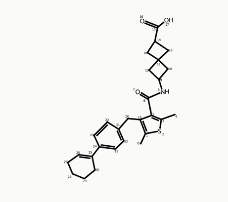 Cc1sc(C)c(C(=O)NC2CC3(C2)CC(C(=O)O)C3)c1Cc1ccc(C2=CCCCC2)cc1